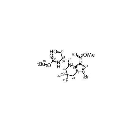 COC(=O)c1sc(Br)c2c1N(C[C@@H](CO)NC(=O)OC(C)(C)C)CC(F)(F)C2